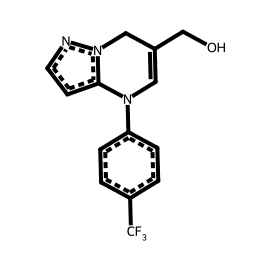 OCC1=CN(c2ccc(C(F)(F)F)cc2)c2ccnn2C1